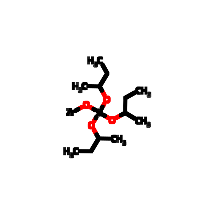 CCC(C)O[Si]([O][Zr])(OC(C)CC)OC(C)CC